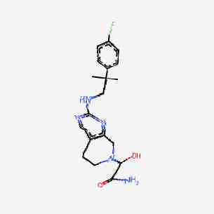 CC(C)(CNc1ncc2c(n1)CN(C(O)C(N)=O)CC2)c1ccc(F)cc1